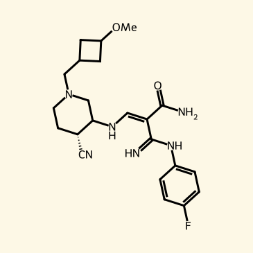 COC1CC(CN2CC[C@@H](C#N)C(N/C=C(\C(=N)Nc3ccc(F)cc3)C(N)=O)C2)C1